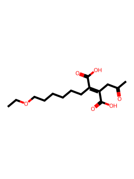 CCOCCCCCCC(C(=O)O)=C(CC(C)=O)C(=O)O